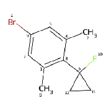 Cc1cc(Br)cc(C)c1C1(F)CC1